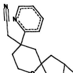 N#CCC1(c2ccccn2)CCOC2(CC3CC3C2)C1